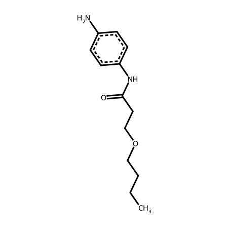 CCCCOCCC(=O)Nc1ccc(N)cc1